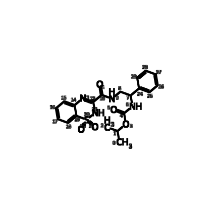 CC(C)OC(=O)NC(CNC(=O)C1=Nc2ccccc2S(=O)(=O)N1)c1ccccc1